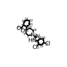 O=C1OC2(CCN(c3nc4cc(Cl)cc(Cl)c4[nH]3)CC2)c2ccccc21